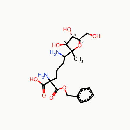 CC1(C(N)CCCC(N)(C(=O)O)C(=O)OCc2ccccc2)O[C@H](CO)[C@@H](O)[C@@H]1O